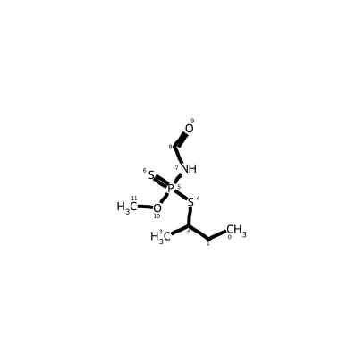 CCC(C)SP(=S)(NC=O)OC